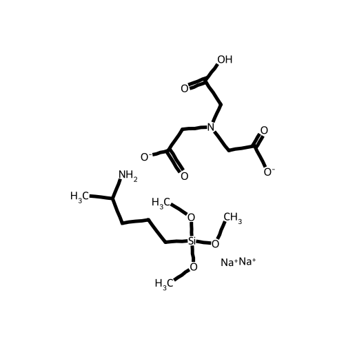 CO[Si](CCCC(C)N)(OC)OC.O=C([O-])CN(CC(=O)[O-])CC(=O)O.[Na+].[Na+]